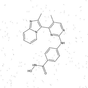 Cc1cnc(Nc2ccc(C(=O)NO)cc2)nc1-c1c(C)nc2ccccn12